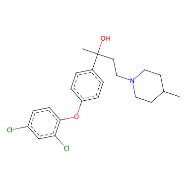 CC1CCN(CCC(C)(O)c2ccc(Oc3ccc(Cl)cc3Cl)cc2)CC1